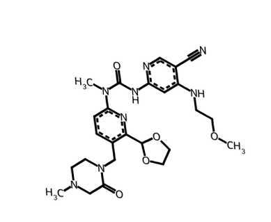 COCCNc1cc(NC(=O)N(C)c2ccc(CN3CCN(C)CC3=O)c(C3OCCO3)n2)ncc1C#N